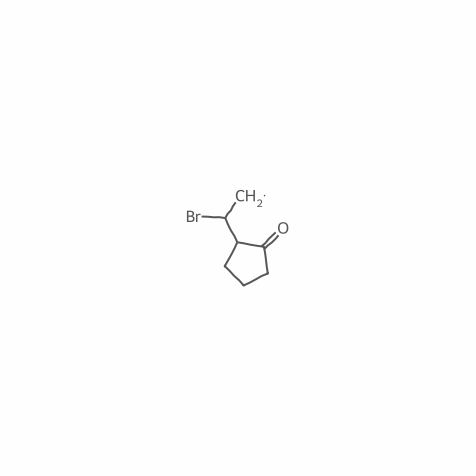 [CH2]C(Br)C1CCCC1=O